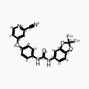 N#Cc1cc(Oc2ccc(NC(=O)Nc3ccc4c(c3)OC(F)(F)O4)cc2)ccn1